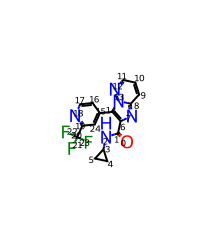 O=C(NC1CC1)c1nc2cccnn2c1-c1ccnc(C(F)(F)F)c1